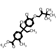 CCC(CC)(c1ccc(C(=O)OC)c(C)c1)c1ccc(OCC(=O)C(C)(C)C)c(Cl)c1